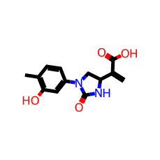 C=C(C(=O)O)C1CN(c2ccc(C)c(O)c2)C(=O)N1